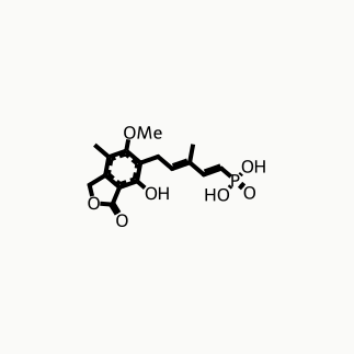 COc1c(C)c2c(c(O)c1C/C=C(C)/C=C/P(=O)(O)O)C(=O)OC2